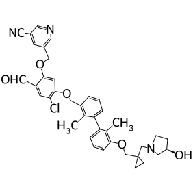 Cc1c(COc2cc(OCc3cncc(C#N)c3)c(C=O)cc2Cl)cccc1-c1cccc(OCC2(CN3CC[C@@H](O)C3)CC2)c1C